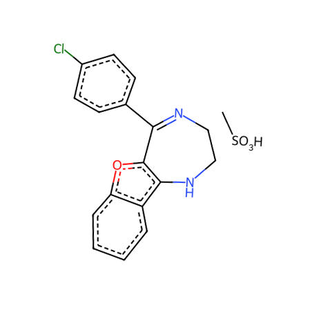 CS(=O)(=O)O.Clc1ccc(C2=NCCNc3c2oc2ccccc32)cc1